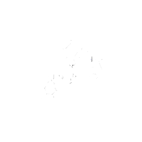 O=C(Nc1ccc(C(F)(F)F)cc1)N1CC2C(=N1)C1=C(CC=CC1)C/C=C1/C=CC=CC12